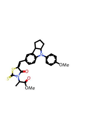 COC(=O)C(C)N1C(=O)/C(=C\c2ccc3c(c2)C2CCCC2N3c2ccc(OC)cc2)SC1=S